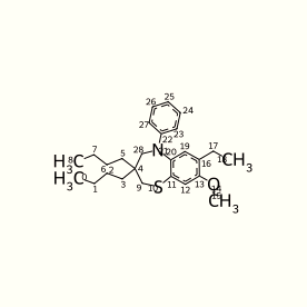 CCCCC1(CCCC)CSc2cc(OC)c(CC)cc2N(c2ccccc2)C1